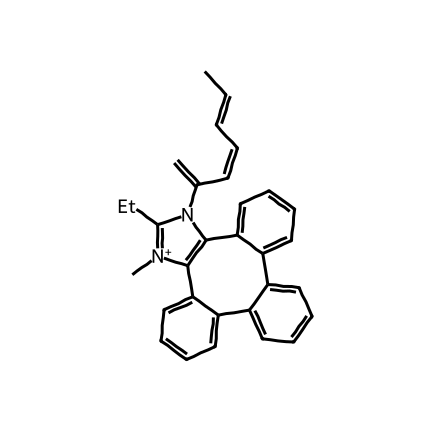 C=C(/C=C\C=CC)n1c2c([n+](C)c1CC)-c1ccccc1-c1ccccc1-c1ccccc1-2